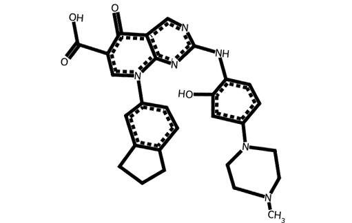 CN1CCN(c2ccc(Nc3ncc4c(=O)c(C(=O)O)cn(-c5ccc6c(c5)CCC6)c4n3)c(O)c2)CC1